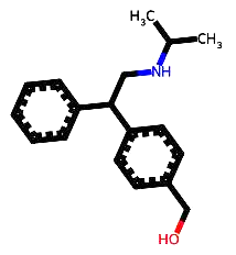 CC(C)NCC(c1ccccc1)c1ccc(CO)cc1